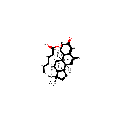 CC(=O)O[C@]1(C(C)=O)CC[C@H]2[C@@H]3C=C(C)C4=CC(=O)CC[C@]4(C)[C@H]3CC[C@@]21C.CCCCCC(=O)O